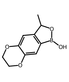 CC1OB(O)c2cc3c(cc21)OCCO3